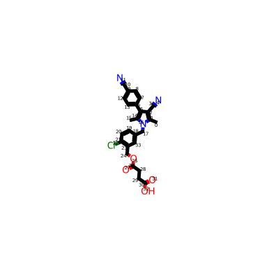 Cc1c(C#N)c(-c2ccc(C#N)cc2)c(C)n1Cc1ccc(Cl)c(COC(=O)CCC(=O)O)c1